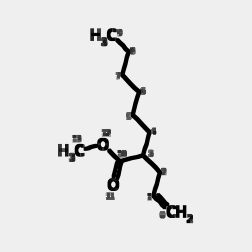 C=CCC(CCCCCC)C(=O)OC